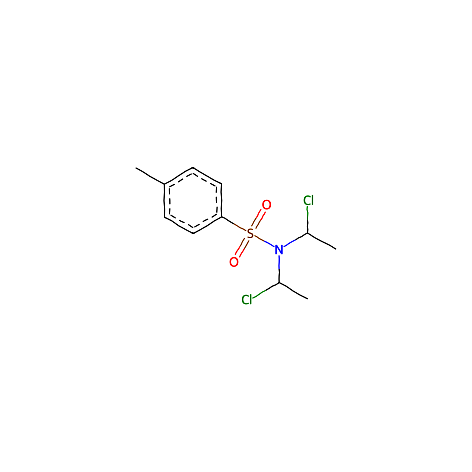 Cc1ccc(S(=O)(=O)N(C(C)Cl)C(C)Cl)cc1